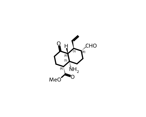 C=C[C@H]1[C@H](C=O)CC[C@]2(N)[C@@H]1C(=O)CC[C@H]2C(=O)OC